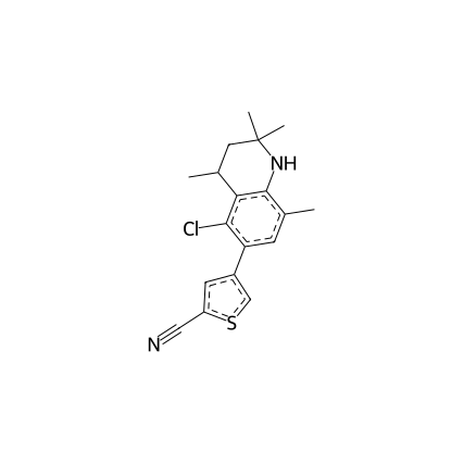 Cc1cc(-c2csc(C#N)c2)c(Cl)c2c1NC(C)(C)CC2C